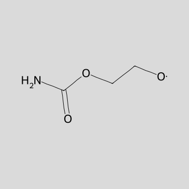 NC(=O)OCC[O]